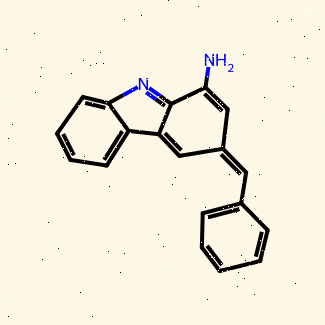 Nc1cc(=Cc2ccccc2)cc2c1=Nc1ccccc1-2